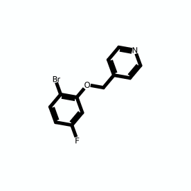 Fc1ccc(Br)c(OCc2ccncc2)c1